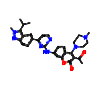 CC(=O)c1c(N2CCN(C)CC2)c2ccc(Nc3nccc(-c4ccc5nn(C)c(C(C)C)c5c4)n3)cc2oc1=O